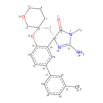 CN1C(=O)[C@@]2(C[C@]3(CCCOC3)Oc3ccc(-c4cccc(C(F)(F)F)c4)cc32)N=C1N